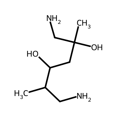 CC(CN)C(O)CC(C)(O)CN